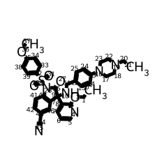 CCOc1ncccc1C1(NCc2ccc(N3CCN(CC)CC3)cc2)C(=O)N(S(=O)(=O)c2ccc(OC)cc2)c2ccc(C#N)cc21